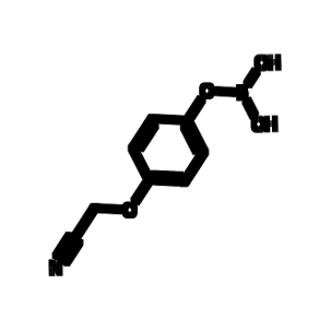 N#CCOc1ccc(OB(O)O)cc1